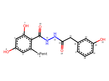 CCCCCc1cc(O)cc(O)c1C(=O)NNC(=O)Cc1cccc(O)c1